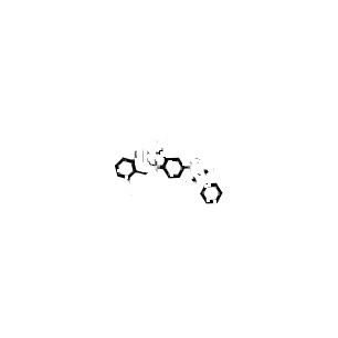 O=c1[nH]n(Cc2c(Cl)cccc2Cl)c2ccc(N(Cl)S(=O)(=O)c3ccccc3)cc12